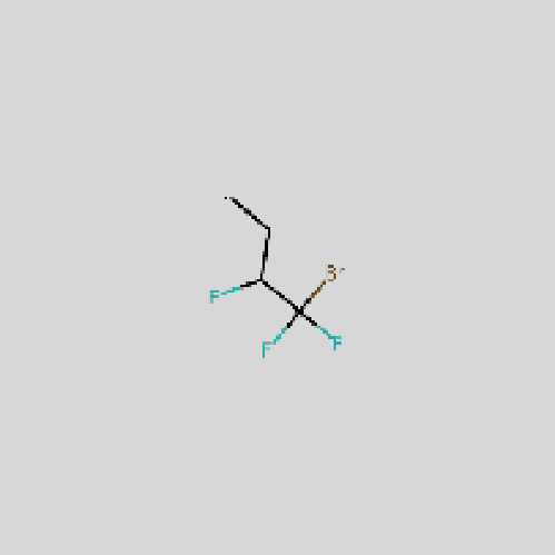 [CH2]CC(F)C(F)(F)Br